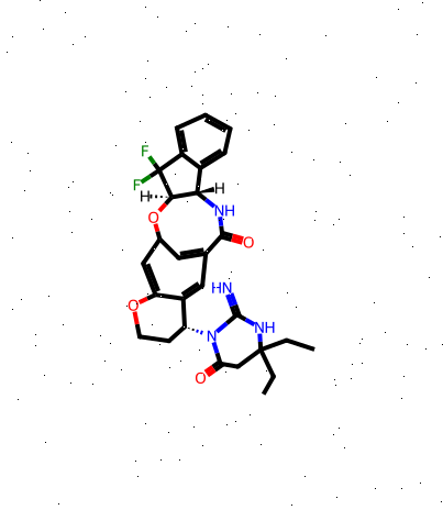 CCC1(CC)CC(=O)N([C@@H]2CCOC3=CC4C=C(C=C32)C(=O)N[C@H]2c3ccccc3C(F)(F)[C@@H]2O4)C(=N)N1